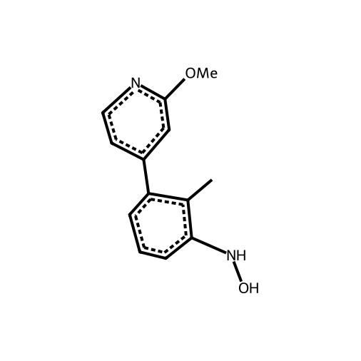 COc1cc(-c2cccc(NO)c2C)ccn1